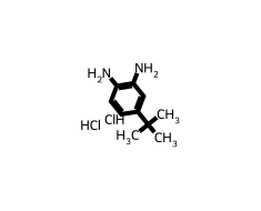 CC(C)(C)c1ccc(N)c(N)c1.Cl.Cl